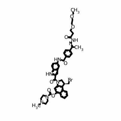 CCOCCOCCC(=O)N/N=C(\C)c1ccc(C(=O)Nc2ccc3[nH]c(C(=O)N4C[C@@H](CBr)c5c4cc(OC(=O)N4CCN(C)CC4)c4ccccc54)cc3c2)cc1